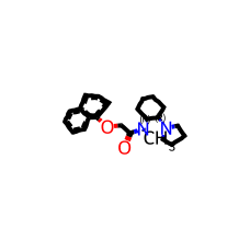 CN(C(=O)COc1cccc2ccccc12)[C@@H]1CCCC[C@H]1N1CCCC1